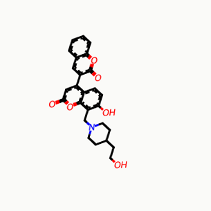 O=c1cc(-c2cc3ccccc3oc2=O)c2ccc(O)c(CN3CCC(CCO)CC3)c2o1